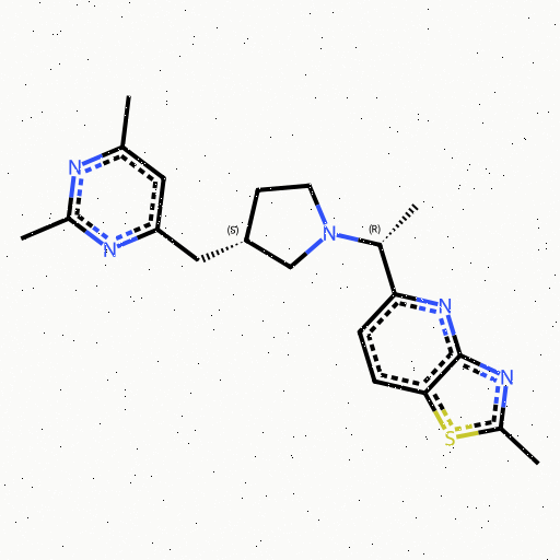 Cc1cc(C[C@@H]2CCN([C@H](C)c3ccc4sc(C)nc4n3)C2)nc(C)n1